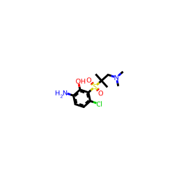 CN(C)CC(C)(C)S(=O)(=O)c1c(Cl)ccc(N)c1O